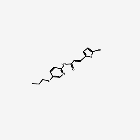 CCCOc1ccc(NC(=O)/C=C/c2ccc(Br)s2)nc1